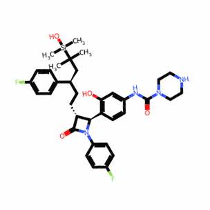 CC(C)(C[C@@H](CC[C@H]1C(=O)N(c2ccc(F)cc2)[C@@H]1c1ccc(NC(=O)N2CCNCC2)cc1O)c1ccc(F)cc1)[Si](C)(C)O